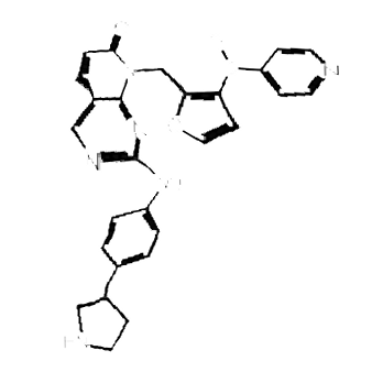 O=c1ccc2cnc(Nc3ccc(C4CCNC4)cc3)nc2n1Cc1occc1[S+]([O-])c1ccncc1